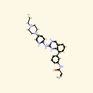 C=CC(=O)Nc1cccc(-c2cccc3cnc(Nc4ccc(N5CCN(CCF)CC5)cn4)nc23)c1